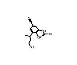 CC(CCO)c1cc(C#N)cc(NC(=O)O)c1Cl